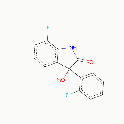 O=C1Nc2c(F)cccc2C1(O)c1ccccc1F